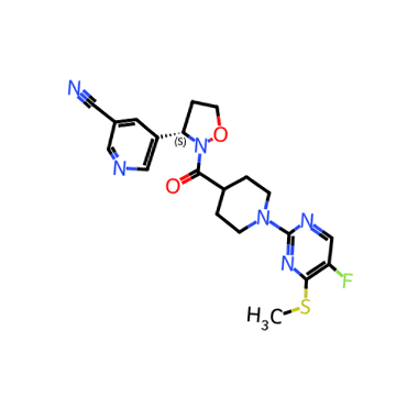 CSc1nc(N2CCC(C(=O)N3OCC[C@H]3c3cncc(C#N)c3)CC2)ncc1F